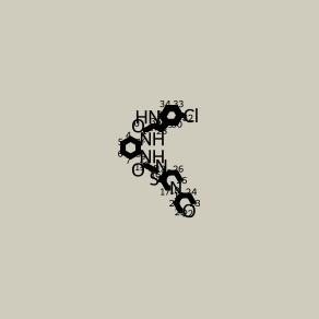 O=C(N[C@H]1CCCC[C@H]1NC(=O)c1nc2c(s1)CN(C1CCOCC1)CC2)c1cc2cc(Cl)ccc2[nH]1